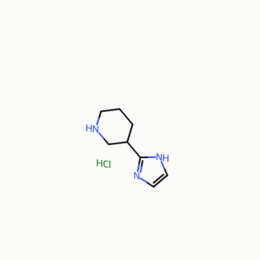 Cl.c1c[nH]c(C2CCCNC2)n1